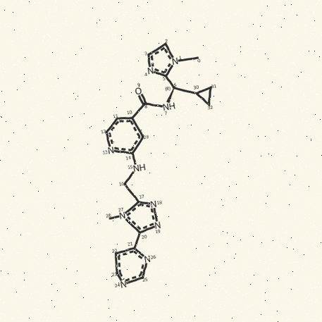 Cn1ccnc1[C@H](NC(=O)c1ccnc(NCc2nnc(-c3ccncn3)n2C)c1)C1CC1